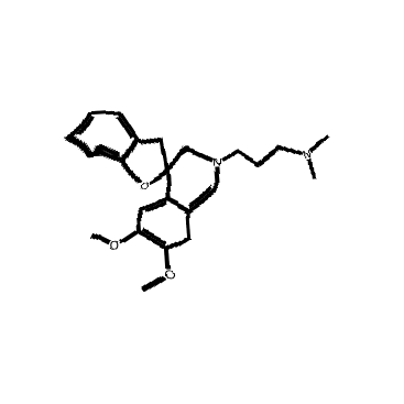 COC1=C(OC)CC2=CN(CCCN(C)C)CC3(Cc4ccccc4O3)C2=C1